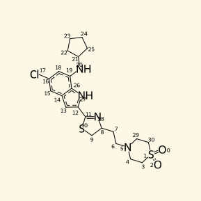 O=S1(=O)CCN(CCC2CSC(c3cc4cc(Cl)cc(NC5CCCC5)c4[nH]3)=N2)CC1